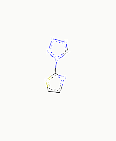 [c]1nnnn1-c1nccs1